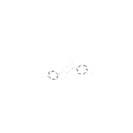 C[Si](C)(C[Si](C)(CCl)c1ccc(Cl)cc1)c1ccc(Cl)cc1